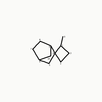 CC1CCC12CC1CCC2C1